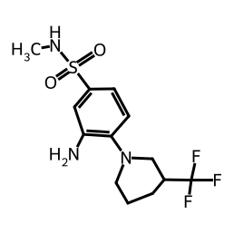 CNS(=O)(=O)c1ccc(N2CCCC(C(F)(F)F)C2)c(N)c1